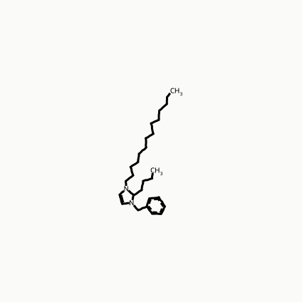 CCCCCCCCCCCCCCN1C=CN(Cc2ccccc2)C1CCCC